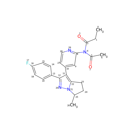 CCC(=O)N(C(C)=O)c1cc(-c2c(-c3ccc(F)cc3)nn3c2CCC3C)ccn1